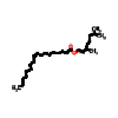 CCCCCCCC/C=C\CCCCCCCC(=O)OCC[C@H](C)CCCC(C)C